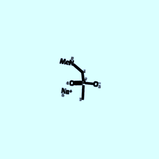 CNCP(C)(=O)[O-].[Na+]